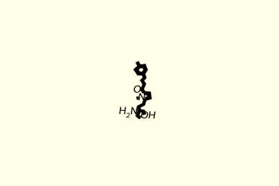 CCC(N)(CO)CCc1ccc(C(=O)CCCc2ccc(C)cc2)n1C